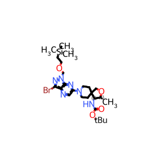 C[C@@H]1OCC2(CCN(c3cnc4c(Br)nn(COCC[Si](C)(C)C)c4n3)CC2)[C@@H]1NC(=O)OC(C)(C)C